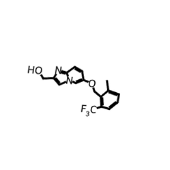 Cc1cccc(C(F)(F)F)c1COc1ccc2nc(CO)cn2c1